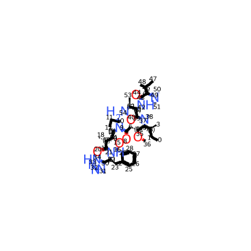 CC[C@H](C)[C@@H]([C@@H](CC(=O)N1CCC[C@H]1[C@H](OC)[C@@H](C)C(=O)N[C@@H](Cc1ccccc1)c1nnn[nH]1)OC)N(C)C(=O)[C@@H](NC(=O)C(C(C)C)N(C)C)[C@H](C)N